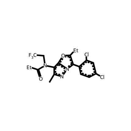 CCC(=O)N(CC(F)(F)F)c1c(C)nn2c(-c3ccc(Cl)cc3Cl)c(CC)oc12